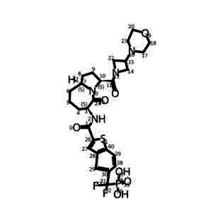 O=C(N[C@H]1CCC[C@H]2CC[C@@H](C(=O)N3CC(N4CCOCC4)C3)N2C1=O)c1cc2cc(C(F)(F)P(=O)(O)O)ccc2s1